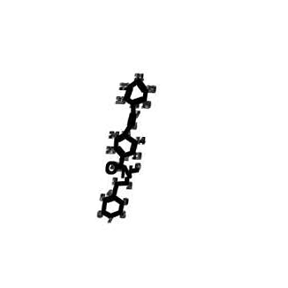 CN(CCC1=CCCCC1)C(=O)c1ccc(C#Cc2ccccc2)cc1